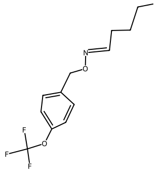 CCCCC=NOCc1ccc(OC(F)(F)F)cc1